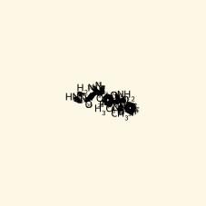 CC(C)n1c(-c2ccc(Oc3ccnc(N)c3C#CC(=O)N3CCNCC3)c(F)c2)c(C(N)=O)c(=O)n(-c2ccc(F)cc2)c1=O